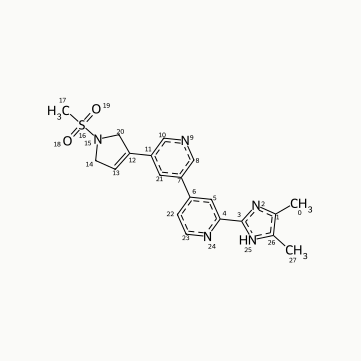 Cc1nc(-c2cc(-c3cncc(C4=CCN(S(C)(=O)=O)C4)c3)ccn2)[nH]c1C